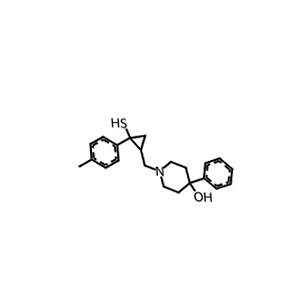 Cc1ccc(C2(S)CC2CN2CCC(O)(c3ccccc3)CC2)cc1